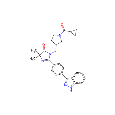 CC1(C)N=C(c2ccc(-c3n[nH]c4ccccc34)cc2)N(CC2CCN(C(=O)C3CC3)C2)C1=O